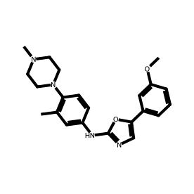 COc1cccc(-c2cnc(Nc3ccc(N4CCN(C)CC4)c(C)c3)o2)c1